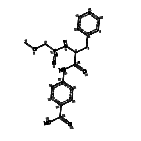 COC[PH](=O)NC(Cc1ccccc1)C(=O)Nc1ccc(C(=O)O)cc1